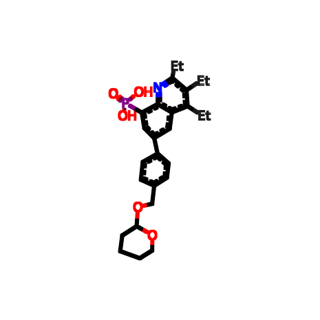 CCc1nc2c(P(=O)(O)O)cc(-c3ccc(COC4CCCCO4)cc3)cc2c(CC)c1CC